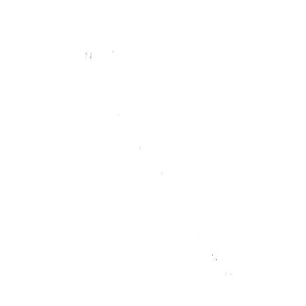 C/C=C\C(=C/C)N(/C(C)=C/C=C(C)/C(C)=C/C=C(C)/C(C)=C/C=C(\C)N(C(/C=C\C)=C/C)c1ccccc1)c1ccccc1